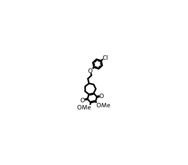 COC1=C(OC)C(=O)C2=C(CCC(CCOc3ccc(Cl)cc3)CC2)C1=O